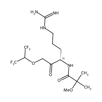 COC(C)(C)C(=O)N[C@@H](CCCNC(=N)N)C(=O)COC(C(F)(F)F)C(F)(F)F